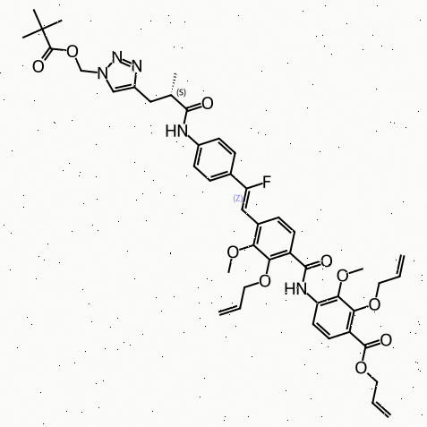 C=CCOC(=O)c1ccc(NC(=O)c2ccc(/C=C(\F)c3ccc(NC(=O)[C@@H](C)Cc4cn(COC(=O)C(C)(C)C)nn4)cc3)c(OC)c2OCC=C)c(OC)c1OCC=C